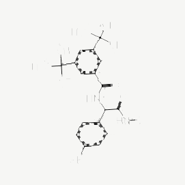 CNC(=O)C(NC(=O)c1cc(C(C)(C)C)cc(C(C)(C)C)c1)c1ccc(F)cc1